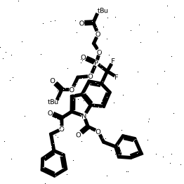 CC(C)(C)C(=O)OCOP(=O)(OCOC(=O)C(C)(C)C)C(F)(F)c1ccc2c(c1)cc(C(=O)OCc1ccccc1)n2C(=O)OCc1ccccc1